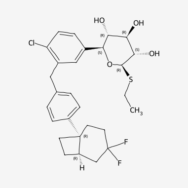 CCS[C@H]1O[C@@H](c2ccc(Cl)c(Cc3ccc([C@@]45CC[C@@H]4CC(F)(F)CC5)cc3)c2)[C@H](O)[C@@H](O)[C@@H]1O